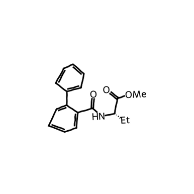 CC[C@H](NC(=O)c1ccccc1-c1ccccc1)C(=O)OC